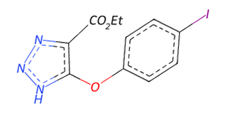 CCOC(=O)c1nn[nH]c1Oc1ccc(I)cc1